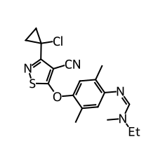 CCN(C)/C=N\c1cc(C)c(Oc2snc(C3(Cl)CC3)c2C#N)cc1C